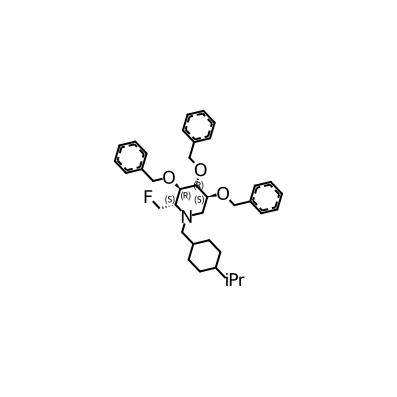 CC(C)C1CCC(CN2C[C@H](OCc3ccccc3)[C@@H](OCc3ccccc3)[C@H](OCc3ccccc3)[C@H]2CF)CC1